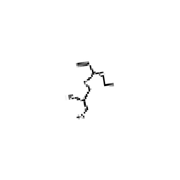 C=CC(OCC)OCC(O)CO